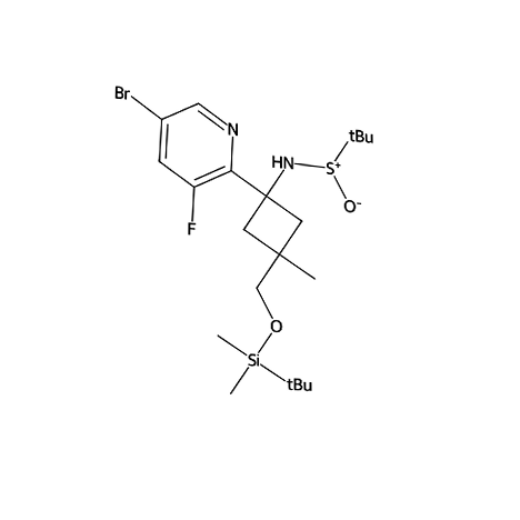 CC1(CO[Si](C)(C)C(C)(C)C)CC(N[S+]([O-])C(C)(C)C)(c2ncc(Br)cc2F)C1